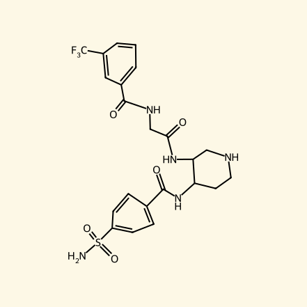 NS(=O)(=O)c1ccc(C(=O)NC2CCNCC2NC(=O)CNC(=O)c2cccc(C(F)(F)F)c2)cc1